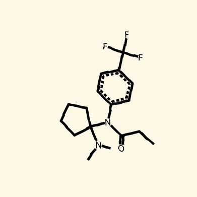 CCC(=O)N(c1ccc(C(F)(F)F)cc1)C1(N(C)C)CCCC1